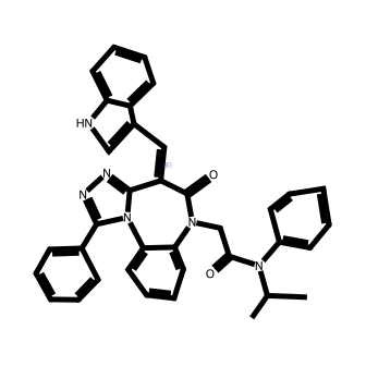 CC(C)N(C(=O)CN1C(=O)/C(=C/c2c[nH]c3ccccc23)c2nnc(-c3ccccc3)n2-c2ccccc21)c1ccccc1